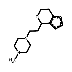 CN1CCN(CCC2OCCc3sccc32)CC1